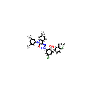 Cc1cc(C)cc(N2C(=O)/C(=N\Nc3cc(Cl)cc(-c4ccc(F)c(C(=O)O)c4)c3O)c3ccc(C(F)(F)F)cc32)c1